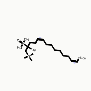 CCCCCCCCC/C=C\CCCCCC/C=C\CCC(O)(C[N+](C)(C)C)P(=O)(O)O